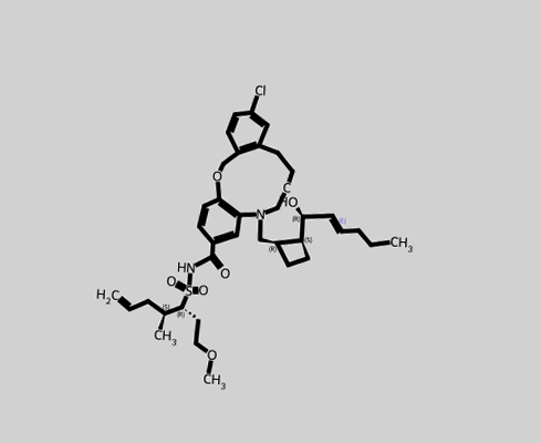 C=CC[C@H](C)[C@@H](CCOC)S(=O)(=O)NC(=O)c1ccc2c(c1)N(C[C@@H]1CC[C@@H]1[C@@H](O)/C=C/CCC)CCCCc1cc(Cl)ccc1CO2